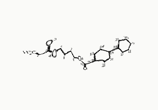 C=CC(=O)OCCCCOC(=O)C1CCC(C2CCCCC2)CC1